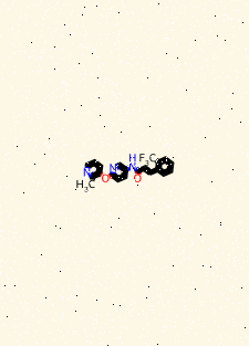 Cc1ncccc1Oc1ccc(NC(=O)C=Cc2ccccc2C(F)(F)F)cn1